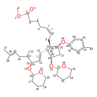 COC(=O)CCC/C=C\C[C@@H]1[C@@H](/C=C/[C@@H](OC2CCCCO2)C(C)CC=C(C)C)[C@H](OC2CCCCO2)C[C@@H]1Oc1ccc(C)cc1